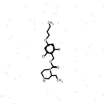 CCCCOc1cc(F)c(COC(=O)N2CCNCC2CC)c(Cl)c1